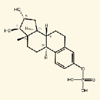 C[C@]12CC[C@@H]3c4ccc(OP(=O)(O)O)cc4CC[C@H]3[C@@H]1C[C@@H](O)[C@@H]2O